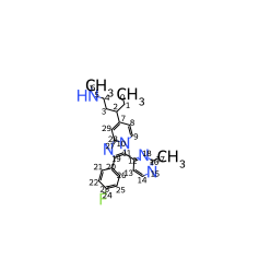 CCC(CCNC)c1ccn2c(-c3ccnc(C)n3)c(-c3ccc(F)cc3)nc2c1